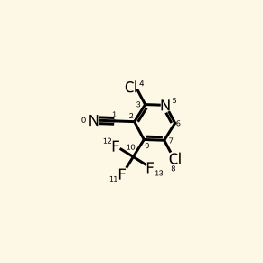 N#Cc1c(Cl)ncc(Cl)c1C(F)(F)F